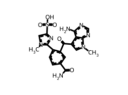 Cn1cc(S(=O)(=O)O)nc1-c1ccc(C(N)=O)cc1C(=O)c1cn(C)c2ncnc(N)c12